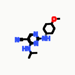 CO[C@H]1CC[C@H](Nc2ncc(C#N)c(NC(C)C)n2)CC1